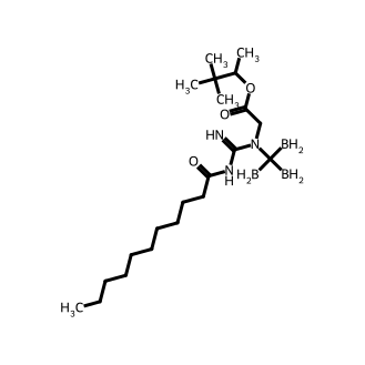 BC(B)(B)N(CC(=O)OC(C)C(C)(C)C)C(=N)NC(=O)CCCCCCCCCC